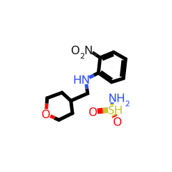 N[SH](=O)=O.O=[N+]([O-])c1ccccc1NCC1CCOCC1